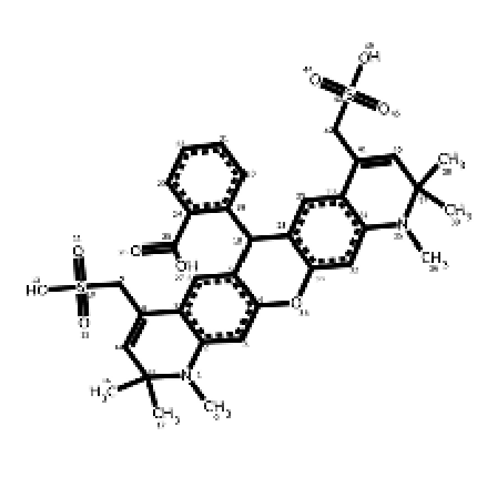 CN1c2cc3c(cc2C(CS(=O)(=O)O)=CC1(C)C)C(c1ccccc1C(=O)O)c1cc2c(cc1O3)N(C)C(C)(C)C=C2CS(=O)(=O)O